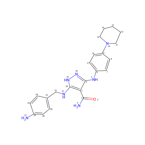 NC(=O)c1c(Nc2ccc(N3CCCCC3)cc2)n[nH]c1NCc1ccc(N)cc1